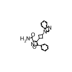 NC(=O)c1noc(-c2ccccc2)c1C1CC(n2cnc3ccccc32)C1